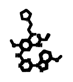 C=CC(=O)Nc1cc(Nc2nccc(-n3ncc4c(OC)cccc43)n2)c(OC)cc1N(C)CCN1CCCC1